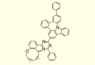 C=C1/C=C\C=C/COc2cccc(-c3nc(-c4ccccc4)nc(-c4cc5c6c(c4)c4ccccc4n6-c4ccc(-c6ccccc6)cc4-c4ccccc4-5)n3)c21